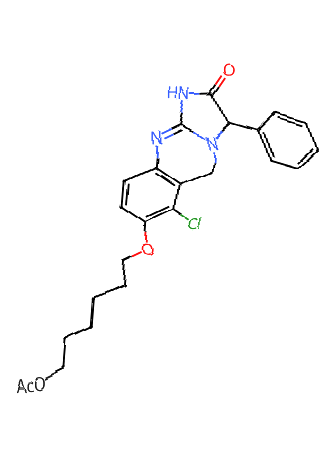 CC(=O)OCCCCCCOc1ccc2c(c1Cl)CN1C(=N2)NC(=O)C1c1ccccc1